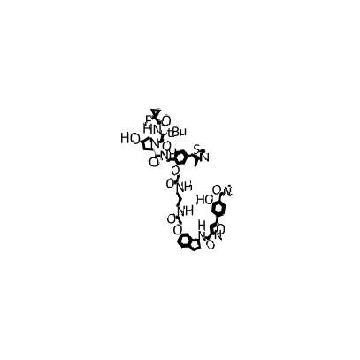 Cc1ncsc1-c1ccc(CNC(=O)[C@@H]2C[C@@H](O)CN2C(=O)[C@@H](NC(=O)C2(F)CC2)C(C)(C)C)c(OCC(=O)NCCCNC(=O)COc2ccc3c(c2)[C@H](NC(=O)c2cc(-c4ccc(C(=O)N(C)C)c(O)c4)on2)CC3)c1